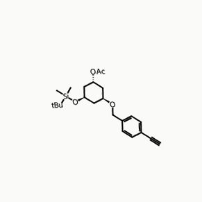 C#Cc1ccc(CO[C@@H]2C[C@@H](OC(C)=O)C[C@H](O[Si](C)(C)C(C)(C)C)C2)cc1